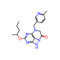 CCCC(C)Oc1nc2c3c(n1)[nH]n3C(=O)CN2Cc1ccc(C)nc1